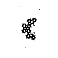 O=C1c2ccccc2-c2cccc3c2C1c1cc2c(cc1-3)C1(c3ccccc3-c3ccccc31)c1cc3c4cccc5c6ccccc6c(=O)n(c3cc1-2)c54